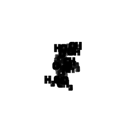 CN(C)C(=O)c1ccc2c3c([nH]c2c1)C(C)(C)c1cc(OCC(O)C(O)CO)ccc1C3=O